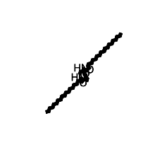 CCCCCCCCC=CCCCCCCCC(=O)NC(CC)OC(CC)NC(=O)CCCCCCCC=CCCCCCCCC